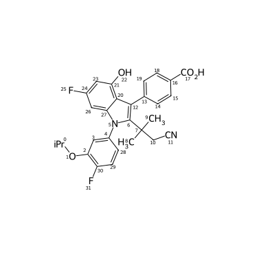 CC(C)Oc1cc(-n2c(C(C)(C)CC#N)c(-c3ccc(C(=O)O)cc3)c3c(O)cc(F)cc32)ccc1F